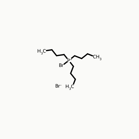 CCCC[P+](Br)(CCCC)CCCC.[Br-]